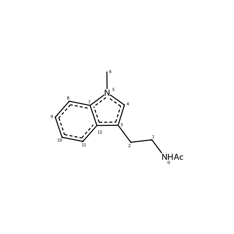 CC(=O)NCCc1cn(C)c2ccccc12